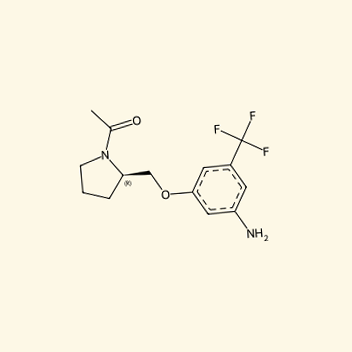 CC(=O)N1CCC[C@@H]1COc1cc(N)cc(C(F)(F)F)c1